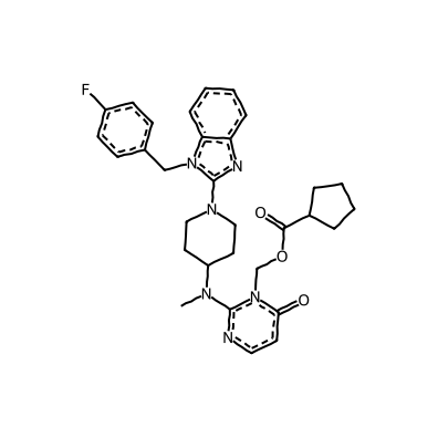 CN(c1nccc(=O)n1COC(=O)C1CCCC1)C1CCN(c2nc3ccccc3n2Cc2ccc(F)cc2)CC1